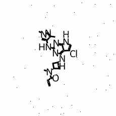 C=CC(=O)N(C)[C@H]1C[C@H](Nc2nc(Nc3cn(C)nc3C)nc3[nH]cc(Cl)c23)C1